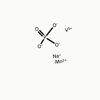 O=P([O-])([O-])[O-].[Mn+2].[Na+].[V+5]